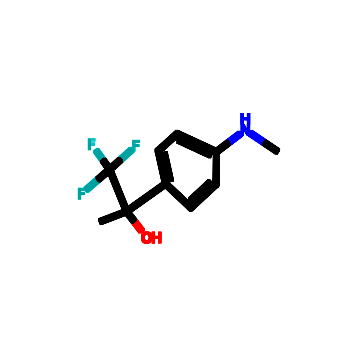 CNc1ccc(C(C)(O)C(F)(F)F)cc1